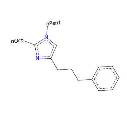 CCCCCCCCc1nc(CCCc2ccccc2)cn1CCCCC